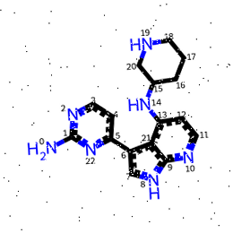 Nc1nccc(-c2c[nH]c3nccc(NC4CCCNC4)c23)n1